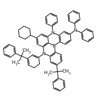 CC(C)(C1=CCCC(N2c3cc(C(C)(C)c4ccccc4)ccc3B3c4ccc(N(c5ccccc5)c5ccccc5)cc4N(c4ccccc4)c4cc(C5CCCCC5)cc2c43)=C1)c1ccccc1